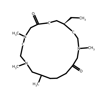 CC[C@@H]1CCC(=O)CN(C)CCN(C)CC(C)CCCC(=O)CN(C)CC1